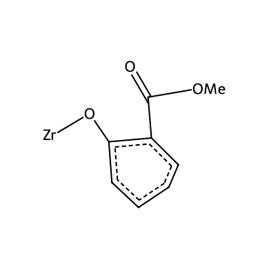 COC(=O)c1ccccc1[O][Zr]